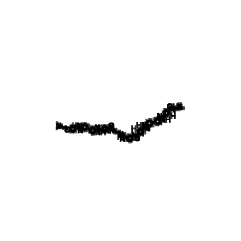 CN(C)CCCOc1ccc(-c2nc3cc(-c4ccc5[nH]c(-c6ccc(C(=O)NCCCn7cc(-c8cccc(NC(=O)c9ccc(-c%10nc%11cc(-c%12ccc%13[nH]c(-c%14ccc(C(O)NCCN(C)C)cc%14)nc%13c%12)ccc%11[nH]%10)cc9)c8)nn7)cc6)nc5c4)ccc3[nH]2)cc1